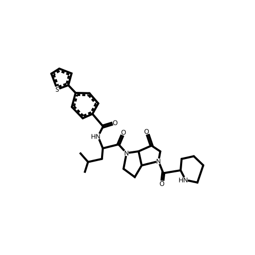 CC(C)CC(NC(=O)c1ccc(-c2cccs2)cc1)C(=O)N1CCC2C1C(=O)CN2C(=O)C1CCCCN1